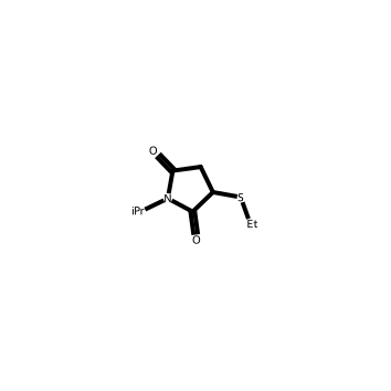 CCSC1CC(=O)N(C(C)C)C1=O